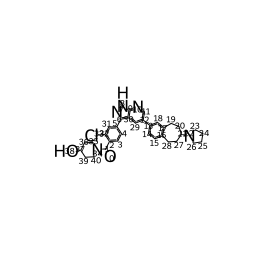 O=C(c1ccc(-c2n[nH]c3ncc(-c4ccc5c(c4)CC[C@@H](N4CCCC4)CC5)cc23)cc1Cl)N1CCC(O)CC1